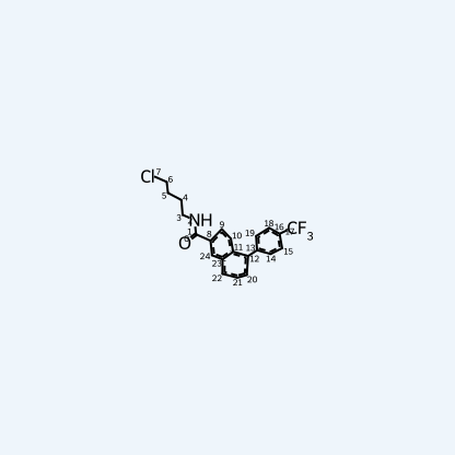 O=C(NCCCCCl)c1ccc2c(-c3ccc(C(F)(F)F)cc3)cccc2c1